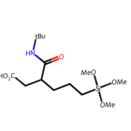 CO[Si](CCCC(CC(=O)O)C(=O)NC(C)(C)C)(OC)OC